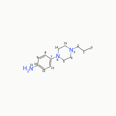 [CH2]CCN1CCN(c2ccc(N)cc2)CC1